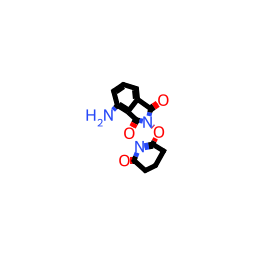 Nc1cccc2c1C(=O)N(OC1=NC(=O)CCC1)C2=O